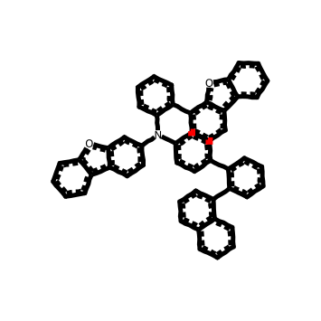 c1ccc(-c2cccc3ccccc23)c(-c2ccc(N(c3ccc4c(c3)oc3ccccc34)c3ccccc3-c3cccc4c3oc3ccccc34)cc2)c1